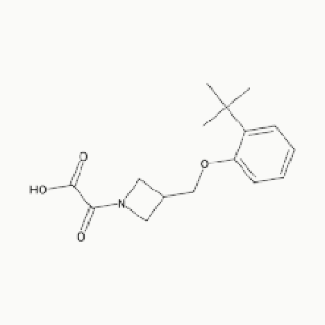 CC(C)(C)c1ccccc1OCC1CN(C(=O)C(=O)O)C1